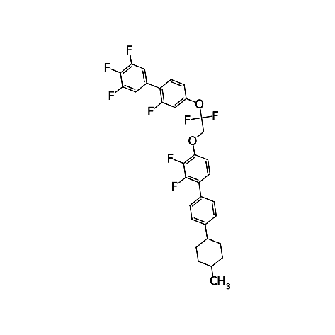 CC1CCC(c2ccc(-c3ccc(OCC(F)(F)Oc4ccc(-c5cc(F)c(F)c(F)c5)c(F)c4)c(F)c3F)cc2)CC1